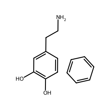 NCCc1ccc(O)c(O)c1.c1ccccc1